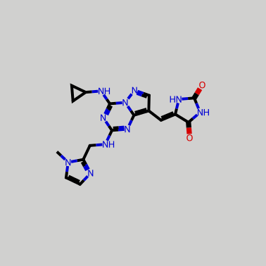 Cn1ccnc1CNc1nc(NC2CC2)n2ncc(/C=C3\NC(=O)NC3=O)c2n1